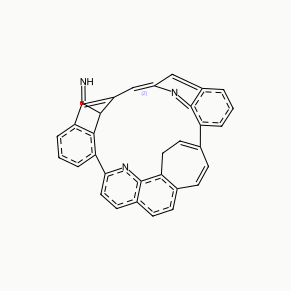 N=CC1C2=Cc3cccc(c31)-c1ccc3ccc4c(c3n1)CC=C(C=C4)c1cccc3c1=N/C(=C\2)C=3